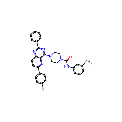 Cc1cccc(NC(=O)N2CCN(c3nc(-c4ccccc4)nc4ccc(-c5ccc(F)cc5)nc34)CC2)c1